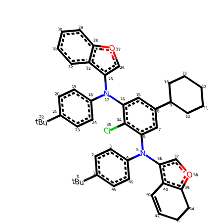 CC(C)(C)c1ccc(N(c2cc(C3CCCCC3)cc(N(c3ccc(C(C)(C)C)cc3)c3coc4ccccc34)c2Cl)c2coc3c2C=CCC3)cc1